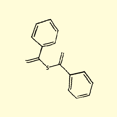 C=C(SC(=C)c1ccccc1)c1ccccc1